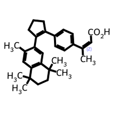 C/C(=C/C(=O)O)c1ccc(C2=C(c3cc4c(cc3C)C(C)(C)CCC4(C)C)CCC2)cc1